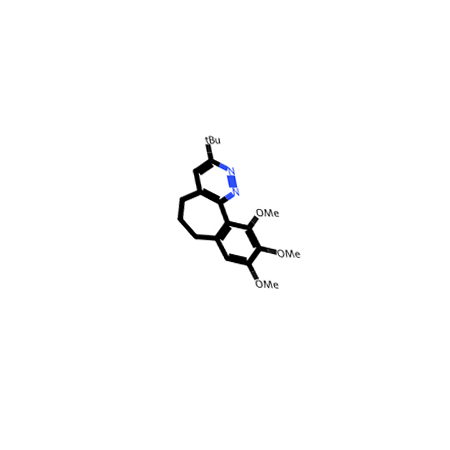 COc1cc2c(c(OC)c1OC)-c1nnc(C(C)(C)C)cc1CCC2